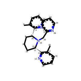 Cc1cccnc1[C@H]1CCC[C@@H](c2ncccc2C)N1Cc1ccccn1